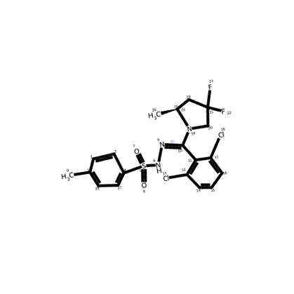 Cc1ccc(S(=O)(=O)N/N=C(\c2c(Cl)cccc2Cl)N2CC(F)(F)C[C@@H]2C)cc1